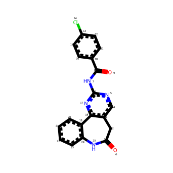 O=C1Cc2cnc(NC(=O)c3ccc(Cl)cc3)nc2-c2ccccc2N1